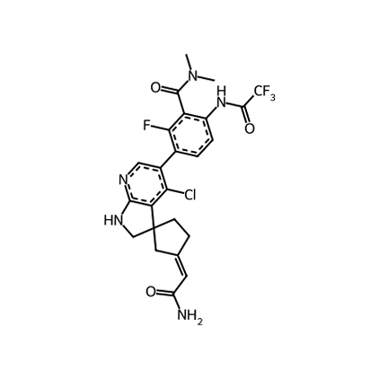 CN(C)C(=O)c1c(NC(=O)C(F)(F)F)ccc(-c2cnc3c(c2Cl)C2(CCC(=CC(N)=O)C2)CN3)c1F